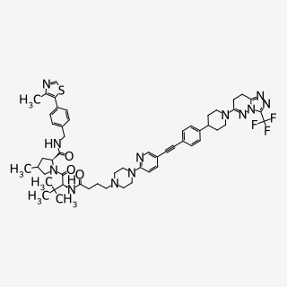 Cc1ncsc1-c1ccc(CNC(=O)[C@@H]2CC(C)CN2C(=O)[C@@H](NC(=O)CCCN2CCN(c3ccc(C#Cc4ccc(C5CCN(C6=Nn7c(nnc7C(F)(F)F)CC6)CC5)cc4)cn3)CC2)C(C)(C)C)cc1